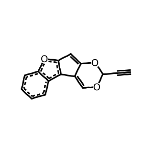 C#CC1OC=C2C(=Cc3oc4ccccc4c32)O1